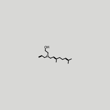 C=CCN(C/C=C(\C)CCC=C(C)C)CCO